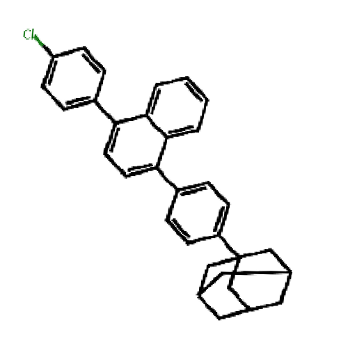 Clc1ccc(-c2ccc(-c3ccc(C45CC6CC(CC(C6)C4)C5)cc3)c3ccccc23)cc1